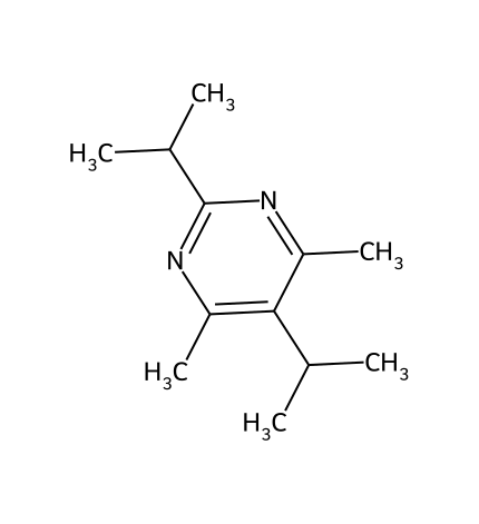 Cc1nc(C(C)C)nc(C)c1C(C)C